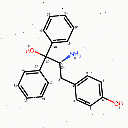 N[C@@H](Cc1ccc(O)cc1)C(O)(c1ccccc1)c1ccccc1